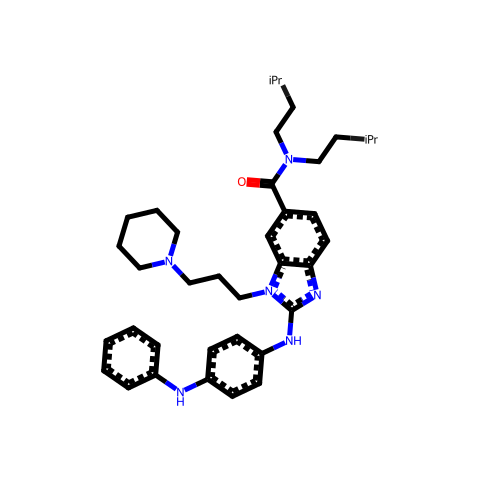 CC(C)CCN(CCC(C)C)C(=O)c1ccc2nc(Nc3ccc(Nc4ccccc4)cc3)n(CCCN3CCCCC3)c2c1